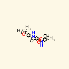 Cc1ccc(NS(=O)(=O)c2ccc3c(c2)C2CCCC2[C@H](c2ccc(C(=O)C(C)C)cc2)N3)cc1C